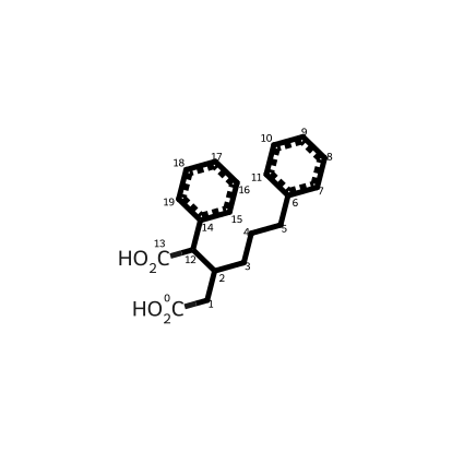 O=C(O)CC(CCCc1ccccc1)C(C(=O)O)c1ccccc1